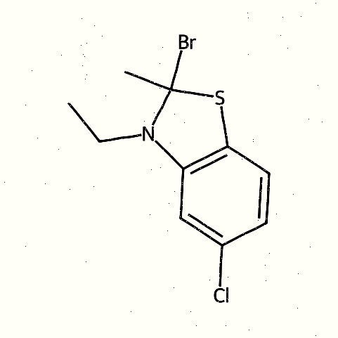 CCN1c2cc(Cl)ccc2SC1(C)Br